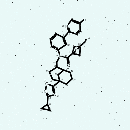 Cc1ccc(-c2cccc(N(CC3CCC4(c5nc(C6CC6)no5)CCCC3C4)C(=O)C34CC(F)(C3)C4)c2)nc1